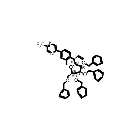 C=C[C@H](c1ccc(-c2cnc(C(F)(F)F)cn2)cc1C)[C@H]1O[C@H](COCc2ccccc2)[C@@H](OCc2ccccc2)[C@H](OCc2ccccc2)[C@@H]1OCc1ccccc1